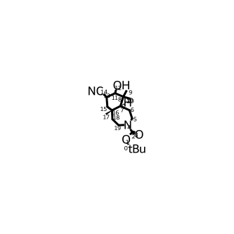 CC(C)(C)OC(=O)N1CC[C@@H]2C(C)(C)C(O)C(C#N)C[C@@]2(C)CC1